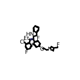 CC/C(=C(/c1c(F)cc(OCCN2CC(CF)C2)cc1F)C1Cc2ccccc2N1)c1ccc(F)cc1Cl